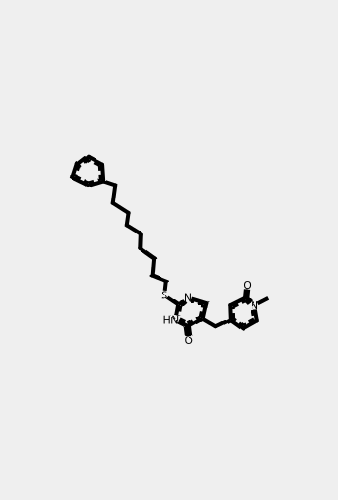 Cn1ccc(Cc2cnc(SCCCCCCCCCc3ccccc3)[nH]c2=O)cc1=O